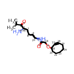 CC(C)C(=O)[C@H](N)CCCCNC(=O)COC1C#CCCCCC1